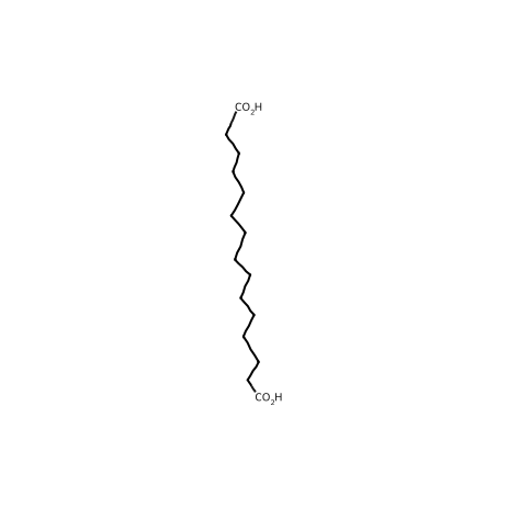 O=C(O)CCCCCCCCCCCCCC(=O)O